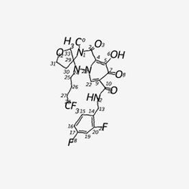 CN1C(=O)c2c(O)c(=O)c(C(=O)NCc3ccc(F)cc3F)cn2N(CCCC(F)(F)F)C12CCOC2